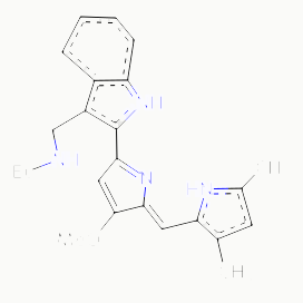 CCNCc1c(C2=N/C(=C\c3[nH]c(C)cc3C)C(OC)=C2)[nH]c2ccccc12